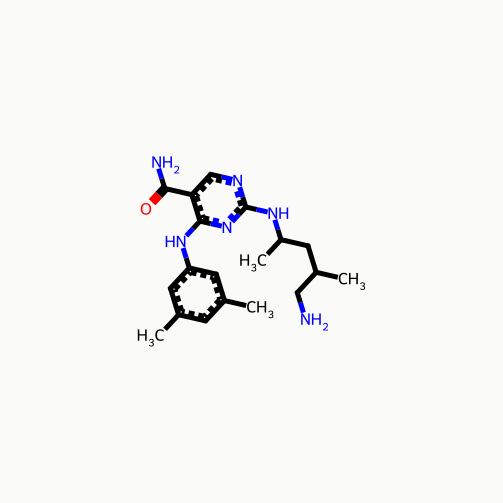 Cc1cc(C)cc(Nc2nc(NC(C)CC(C)CN)ncc2C(N)=O)c1